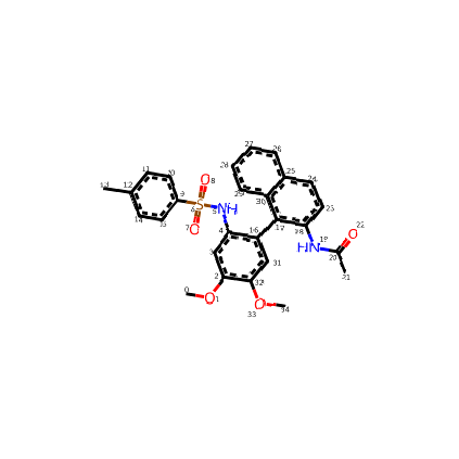 COc1cc(NS(=O)(=O)c2ccc(C)cc2)c(-c2c(NC(C)=O)ccc3ccccc23)cc1OC